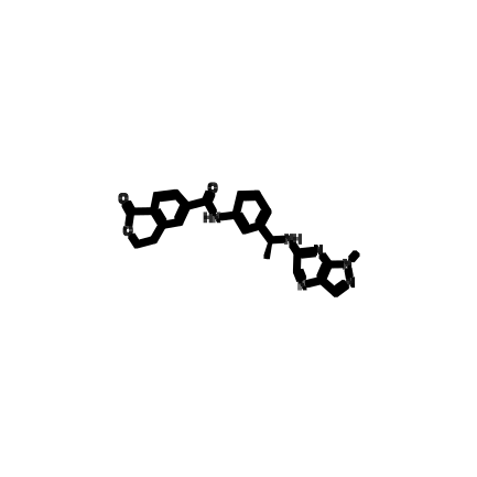 C[C@H](Nc1cnc2cnn(C)c2n1)c1cccc(NC(=O)c2ccc3c(c2)CCOC3=O)c1